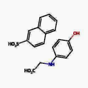 O=C(O)CNc1ccc(O)cc1.O=S(=O)(O)c1ccc2ccccc2c1